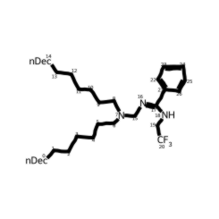 CCCCCCCCCCCCCCCCN(CCCCCCCCCCCCCCCC)CN=C(NCC(F)(F)F)c1ccccc1